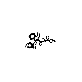 CCOC(=O)COC(=O)c1[nH]c2ccccc2c1Nc1ccncc1